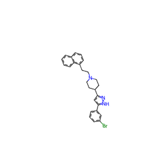 Brc1cccc(-c2cc(C3CCN(CCc4cccc5ccccc45)CC3)n[nH]2)c1